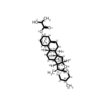 CC(O)C(=O)O[C@H]1CC[C@@]2(C)C(=CC[C@H]3[C@@H]4C[C@@H]5O[C@]6(CC[C@@H](C)CO6)[C@@H](C)[C@@H]5[C@@]4(C)CC[C@@H]32)C1